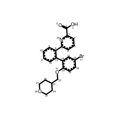 O=C(O)c1cccc(-c2ccccc2-c2cc(Br)ccc2OCC2CCOCC2)n1